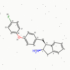 N[C@@H]1Cc2ccccc2[C@@H]1Cc1ccc(Oc2ccc(F)cc2)cc1